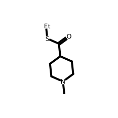 CCSC(=O)C1CCN(C)CC1